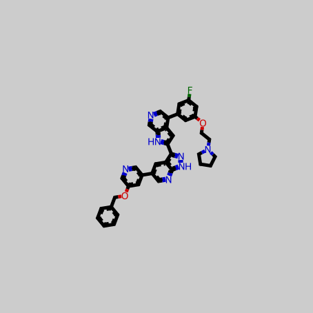 Fc1cc(OCCN2CCCC2)cc(-c2cncc3[nH]c(-c4n[nH]c5ncc(-c6cncc(OCc7ccccc7)c6)cc45)cc23)c1